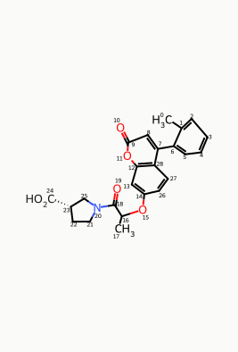 Cc1ccccc1-c1cc(=O)oc2cc(OC(C)C(=O)N3CC[C@H](C(=O)O)C3)ccc12